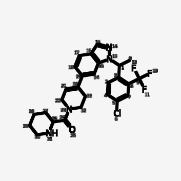 CC(c1ccc(Cl)cc1C(F)(F)F)n1ncc2ccc(C3=CCN(C(=O)C4CCCCN4)CC3)cc21